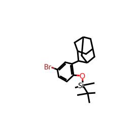 CC(C)(C)[Si](C)(C)Oc1ccc(Br)cc1C1C2CC3CC(C2)CC1C3